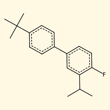 CC(C)c1cc(-c2ccc(C(C)(C)C)cc2)ccc1F